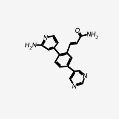 NC(=O)C=Cc1cc(-c2cncnc2)ccc1-c1ccnc(N)c1